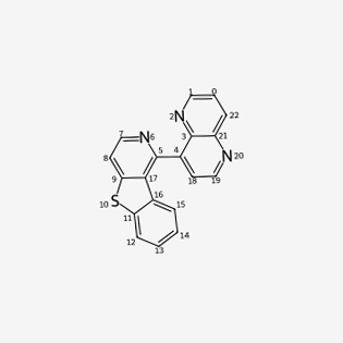 c1cnc2c(-c3nccc4sc5ccccc5c34)ccnc2c1